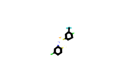 O=S(=O)(Nc1cc(Cl)ccc1S)c1ccc(Cl)c(C(F)(F)F)c1